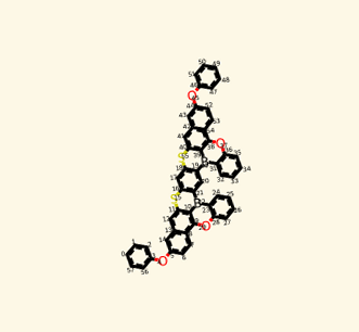 c1ccc(Oc2ccc3c4c5c(cc3c2)Sc2cc3c(cc2B5c2ccccc2O4)B2c4ccccc4Oc4c2c(cc2cc(Oc5ccccc5)ccc42)S3)cc1